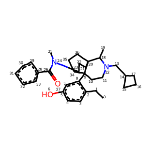 CCc1ccc(O)cc1C12CCN(CC3CCC3)C(C)C13CCC(N(C)C(=O)c1ccccc1)C2CC3